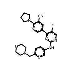 N#Cc1cc(-c2nc(Nc3ccc(CN4CCOCC4)nc3)ncc2F)cnc1N1CCCC1